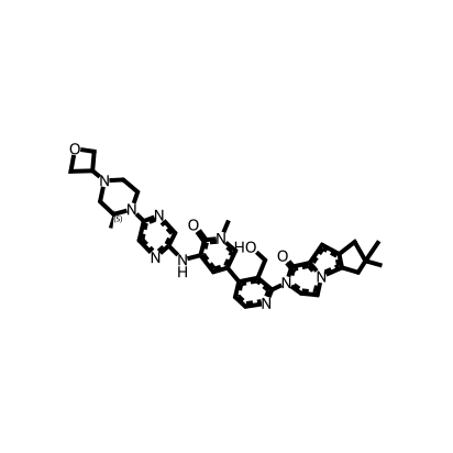 C[C@H]1CN(C2COC2)CCN1c1cnc(Nc2cc(-c3ccnc(-n4ccn5c6c(cc5c4=O)CC(C)(C)C6)c3CO)cn(C)c2=O)cn1